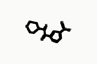 O=C(C(=S)N1CCOCC1)c1cccc([N+](=O)[O-])c1